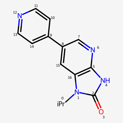 CC(C)n1c(=O)[nH]c2ncc(-c3ccncc3)cc21